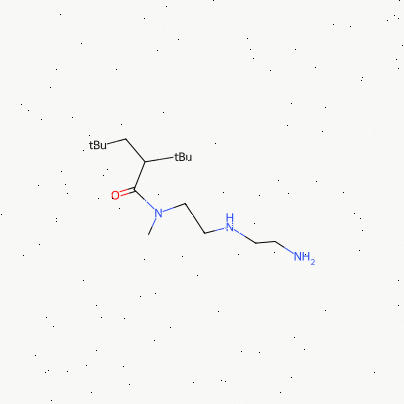 CN(CCNCCN)C(=O)C(CC(C)(C)C)C(C)(C)C